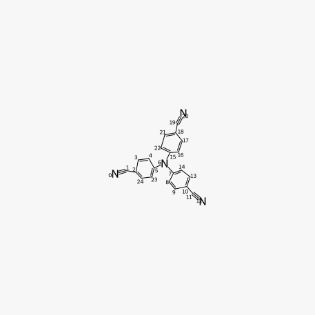 N#Cc1ccc(N(c2ccc(C#N)cc2)c2ccc(C#N)cc2)cc1